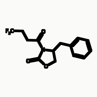 O=C(CCC(F)(F)F)N1C(=O)OCC1Cc1ccccc1